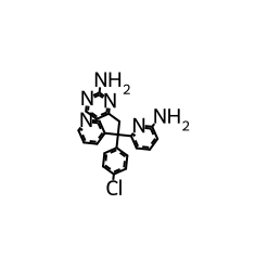 Nc1cccc(C(Cc2ccnc(N)n2)(c2ccc(Cl)cc2)c2cccnc2)n1